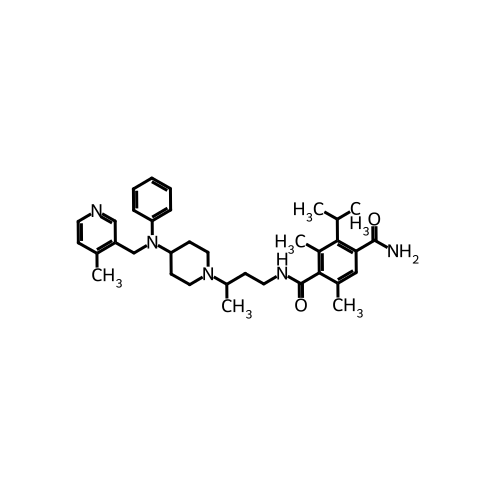 Cc1ccncc1CN(c1ccccc1)C1CCN(C(C)CCNC(=O)c2c(C)cc(C(N)=O)c(C(C)C)c2C)CC1